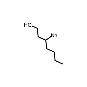 CCCC[CH]([Na])CCO